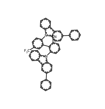 N#Cc1cccc(-n2c3ccccc3c3cc(-c4ccccc4)ccc32)c1-c1cc(C(F)(F)F)ccc1-n1c2ccccc2c2cc(-c3ccccc3)ccc21